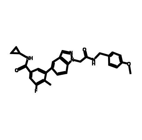 COc1ccc(CNC(=O)Cn2ncc3cc(-c4cc(C(=O)NC5CC5)cc(F)c4C)ccc32)cc1